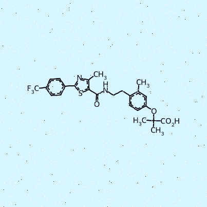 Cc1cc(OC(C)(C)C(=O)O)ccc1CCNC(=O)c1sc(-c2ccc(C(F)(F)F)cc2)nc1C